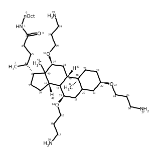 CCCCCCCCNC(=O)CCC(C)[C@H]1CC[C@H]2C3[C@H](OCCCN)CC4C[C@H](OCCCN)CC[C@]4(C)[C@H]3C[C@H](OCCCN)C12C